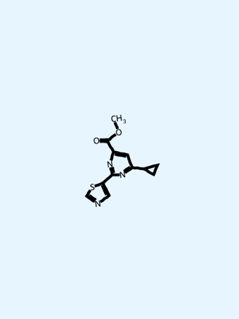 COC(=O)c1cc(C2CC2)nc(-c2cncs2)n1